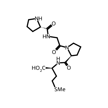 CSCC[C@H](NC(=O)[C@@H]1CCCN1C(=O)CNC(=O)[C@@H]1CCCN1)C(=O)O